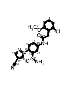 COc1cccc(Cl)c1CC(=O)Nc1ccc(-n2cc(C#N)cn2)c([S+](N)[O-])c1